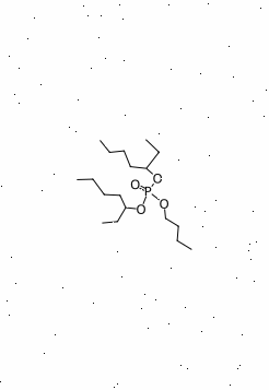 CCCCOP(=O)(OC(CC)CCCC)OC(CC)CCCC